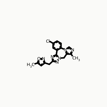 Cc1cc(Cc2nc3n(n2)Cc2c(C)ncn2-c2ccc(Cl)cc2-3)no1